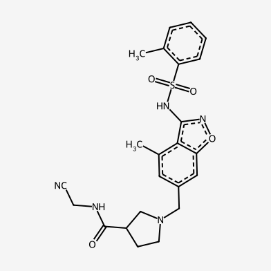 Cc1ccccc1S(=O)(=O)Nc1noc2cc(CN3CCC(C(=O)NCC#N)C3)cc(C)c12